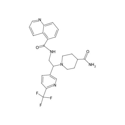 NC(=O)C1CCN(C(CNC(=O)c2cccc3ncccc23)c2ccc(C(F)(F)F)nc2)CC1